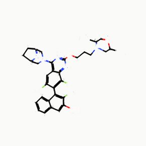 CC1CN(CCCOc2nc(N3CC4CCC(C3)N4)c3cc(F)c(-c4c(F)c(O)cc5ccccc45)c(F)c3n2)C(C)CO1